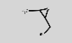 CC(C)CC1OC1C